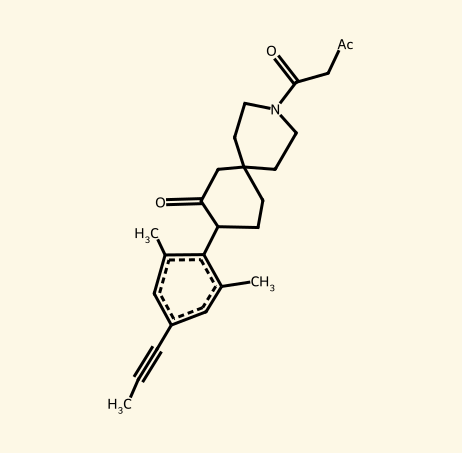 CC#Cc1cc(C)c(C2CCC3(CCN(C(=O)CC(C)=O)CC3)CC2=O)c(C)c1